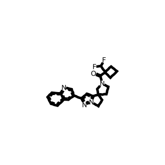 O=C(N1CCC2(CCn3nc(-c4cnc5ccccc5c4)cc32)C1)C1(C(F)F)CCC1